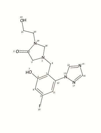 O=C1CN(Cc2c(O)cc(F)cc2-n2cncn2)CN1CCO